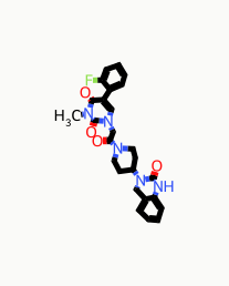 Cn1c(=O)c(-c2ccccc2F)cn(CC(=O)N2CCC(N3Cc4ccccc4NC3=O)CC2)c1=O